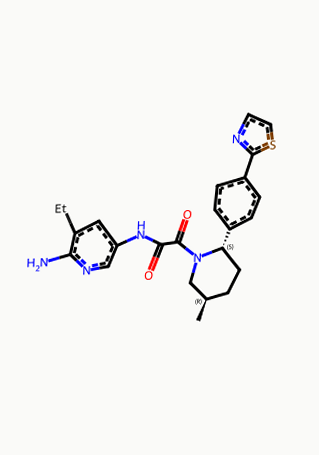 CCc1cc(NC(=O)C(=O)N2C[C@H](C)CC[C@H]2c2ccc(-c3nccs3)cc2)cnc1N